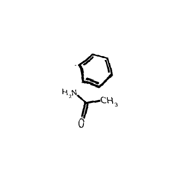 CC(N)=O.[c]1ccccc1